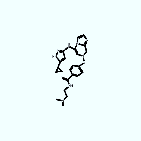 CN(C)CCNC(=O)c1ccc(SN2C=C(Nc3cc(C4CC4)[nH]n3)[N+]3C=CN=C3C2)cc1